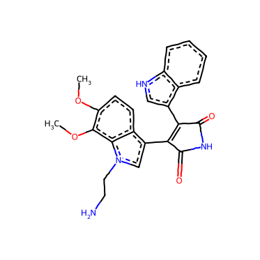 COc1ccc2c(C3=C(c4c[nH]c5ccccc45)C(=O)NC3=O)cn(CCN)c2c1OC